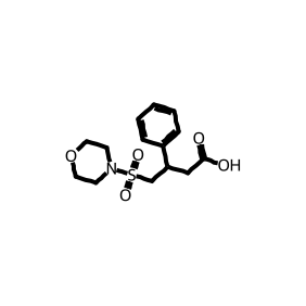 O=C(O)CC(CS(=O)(=O)N1CCOCC1)c1ccccc1